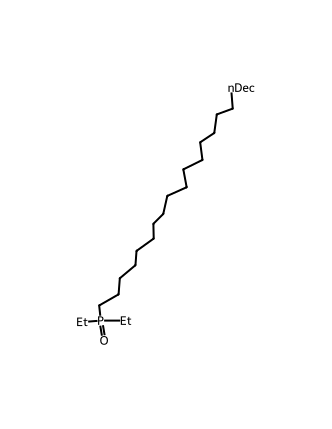 CCCCCCCCCCCCCCCCCCCCCCCCCCP(=O)(CC)CC